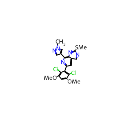 COc1cc(OC)c(Cl)c(-c2cc3cnc(SC)nc3c(-c3cnn(C)c3)n2)c1Cl